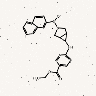 CCOC(=O)c1cnc(NC2C3CN([S+]([O-])c4ccc5ccccc5c4)CC32)nc1